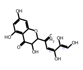 C=C(/C=C(O)\C(O)=C\O)C1Oc2cc(O)cc(O)c2C(=O)C1O